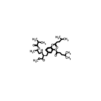 COC(=O)[C@H](Cc1ccc(OC(=O)CCC(C)C)c(OC(=O)CCC(C)C)c1)NCC(C)OC(=O)C(C)C